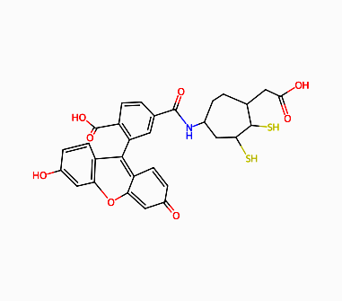 O=C(O)CC1CCC(NC(=O)c2ccc(C(=O)O)c(-c3c4ccc(=O)cc-4oc4cc(O)ccc34)c2)CC(S)C1S